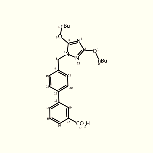 CCCCOc1nc(OCCCC)n(Cc2ccc(-c3cccc(C(=O)O)c3)cc2)n1